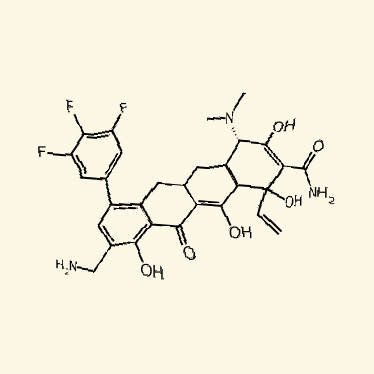 C=CC1(O)C(C(N)=O)=C(O)[C@@H](N(C)C)C2CC3Cc4c(-c5cc(F)c(F)c(F)c5)cc(CN)c(O)c4C(=O)C3=C(O)C21